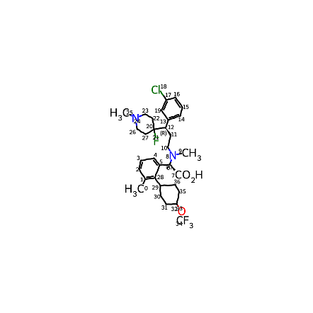 Cc1cccc([C@H](C(=O)O)N(C)CC[C@H](c2cccc(Cl)c2)C2(F)CCN(C)CC2)c1C1CCC(OC(F)(F)F)CC1